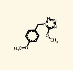 COc1ccc(Cn2nnnc2OC)cc1